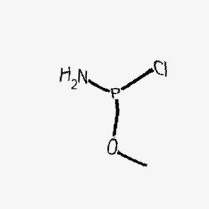 COP(N)Cl